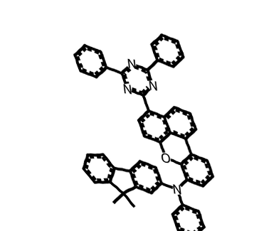 CC1(C)c2ccccc2-c2ccc(N(c3ccccc3)c3cccc4c3Oc3ccc(-c5nc(-c6ccccc6)nc(-c6ccccc6)n5)c5cccc-4c35)cc21